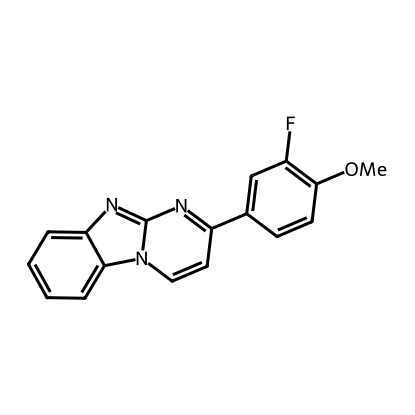 COc1ccc(-c2ccn3c(n2)nc2ccccc23)cc1F